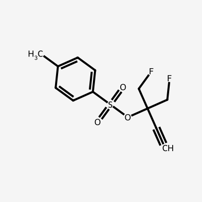 C#CC(CF)(CF)OS(=O)(=O)c1ccc(C)cc1